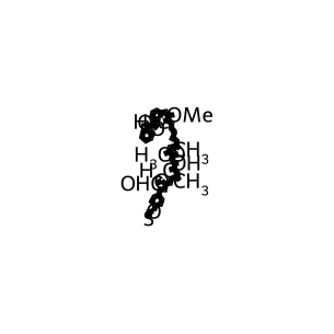 COC(CC1CCCC(C(=O)C(=O)N2CCCCC2)O1)/C(C)=C/C=C/C=C/C(C)CC(C)C(=O)CC(O)/C(C)=C/C(C)CCC(CCC1CCC(OC=S)CC1)OC=O